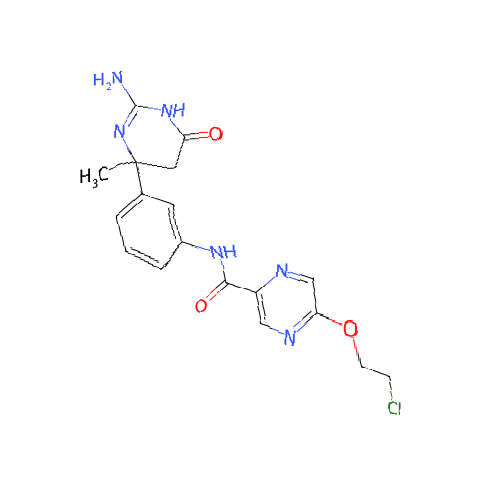 CC1(c2cccc(NC(=O)c3cnc(OCCCl)cn3)c2)CC(=O)NC(N)=N1